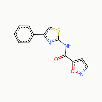 O=C(Nc1nc(-c2ccccc2)cs1)c1ccno1